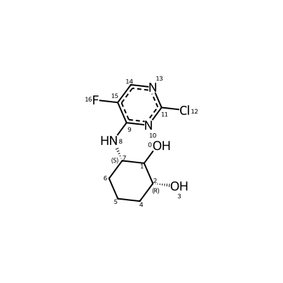 OC1[C@H](O)CCC[C@@H]1Nc1nc(Cl)ncc1F